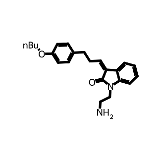 CCCCOc1ccc(CCC=C2C(=O)N(CCN)c3ccccc32)cc1